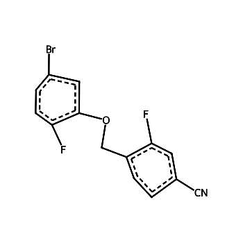 N#Cc1ccc(COc2cc(Br)ccc2F)c(F)c1